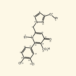 CCn1c(Cn2ccc(OC(C)C)n2)cc(=O)c(C(=O)O)c1-c1ccc(Cl)c(Cl)c1